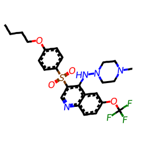 CCCCOc1ccc(S(=O)(=O)c2cnc3ccc(OC(F)(F)F)cc3c2NN2CCN(C)CC2)cc1